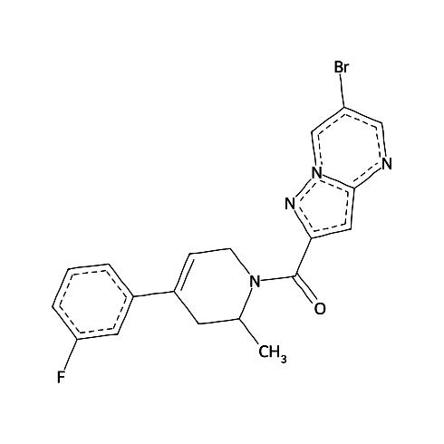 CC1CC(c2cccc(F)c2)=CCN1C(=O)c1cc2ncc(Br)cn2n1